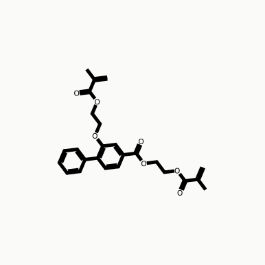 C=C(C)C(=O)OCCOC(=O)c1ccc(-c2ccccc2)c(OCCOC(=O)C(=C)C)c1